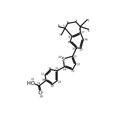 CC1(C)CCC(C)(C)c2cc(-c3ccc(-c4ccc(C(=O)O)cc4)s3)ccc21